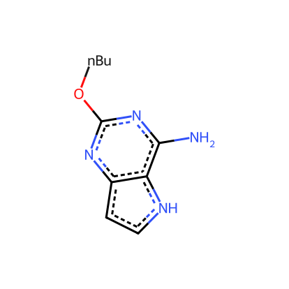 CCCCOc1nc(N)c2[nH]ccc2n1